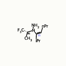 CCC/C=C(/C(C)C)N(N)[C@H](C)C(F)(F)F